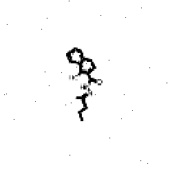 CCC/C(C)=N/NC(=O)c1ccc2ccccc2c1O